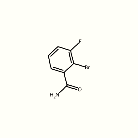 NC(=O)c1cccc(F)c1Br